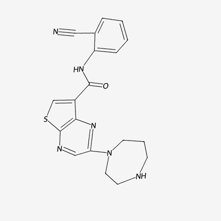 N#Cc1ccccc1NC(=O)c1csc2ncc(N3CCCNCC3)nc12